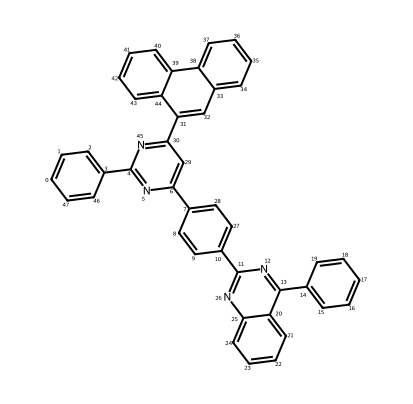 c1ccc(-c2nc(-c3ccc(-c4nc(-c5ccccc5)c5ccccc5n4)cc3)cc(-c3cc4ccccc4c4ccccc34)n2)cc1